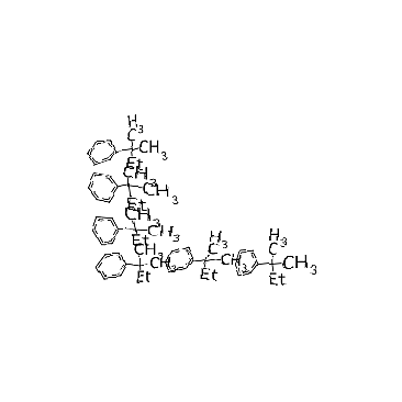 CCC(C)(C)c1ccccc1.CCC(C)(C)c1ccccc1.CCC(C)(C)c1ccccc1.CCC(C)(C)c1ccccc1.CCC(C)(C)c1ccccc1.CCC(C)(C)c1ccccc1